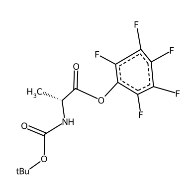 C[C@@H](NC(=O)OC(C)(C)C)C(=O)Oc1c(F)c(F)c(F)c(F)c1F